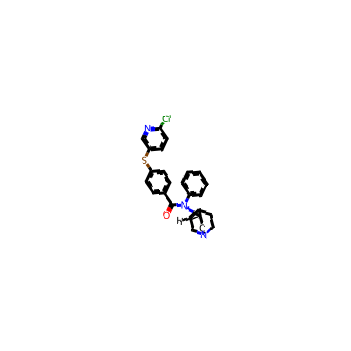 O=C(c1ccc(Sc2ccc(Cl)nc2)cc1)N(c1ccccc1)[C@H]1CN2CCC1CC2